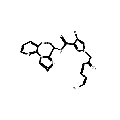 C=C(/C=C\C=C/C)Cn1cc(F)c(C(=O)N[C@@H]2COc3cccnc3-n3ccnc32)n1